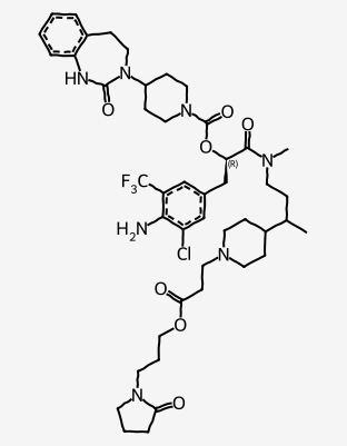 CC(CCN(C)C(=O)[C@@H](Cc1cc(Cl)c(N)c(C(F)(F)F)c1)OC(=O)N1CCC(N2CCc3ccccc3NC2=O)CC1)C1CCN(CCC(=O)OCCCN2CCCC2=O)CC1